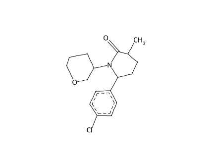 CC1CCC(c2ccc(Cl)cc2)N(C2CCCOC2)C1=O